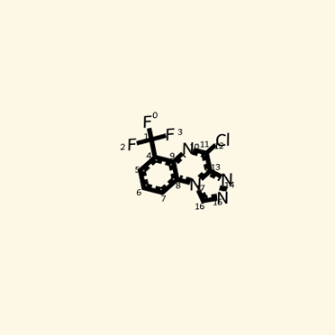 FC(F)(F)c1cccc2c1nc(Cl)c1nncn12